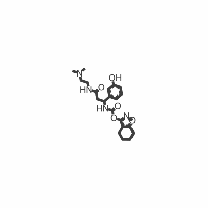 CN(C)CCNC(=O)CC(NC(=O)Oc1noc2c1CCCC2)c1cccc(O)c1